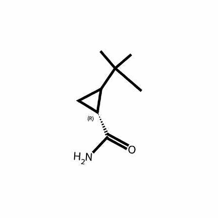 CC(C)(C)C1C[C@H]1C(N)=O